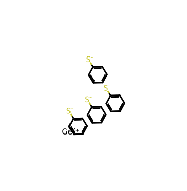 [Ge+4].[S-]c1ccccc1.[S-]c1ccccc1.[S-]c1ccccc1.[S-]c1ccccc1